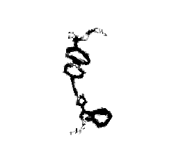 CCOC(=O)c1ccc(N2CCC(CN3CCC(c4cn(C)c5ccccc45)C3)CC2)nc1